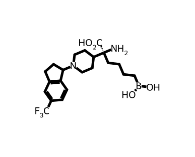 N[C@](CCCCB(O)O)(C(=O)O)C1CCN(C2CCc3cc(C(F)(F)F)ccc32)CC1